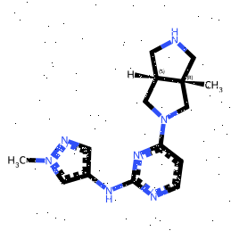 Cn1cc(Nc2nccc(N3C[C@@H]4CNC[C@]4(C)C3)n2)cn1